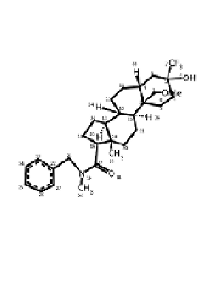 COC[C@]12CC[C@](O)(C(F)(F)F)C[C@H]1CC[C@H]1[C@@H]3CC[C@H](C(=O)N(C)Cc4ccccc4)[C@@]3(C)CC[C@@H]12